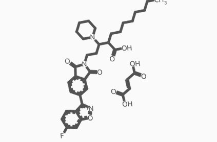 CCCCCCCCC(C(=O)O)C(CCN1C(=O)c2ccc(-c3noc4cc(F)ccc34)cc2C1=O)N1CCCCC1.O=C(O)C=CC(=O)O